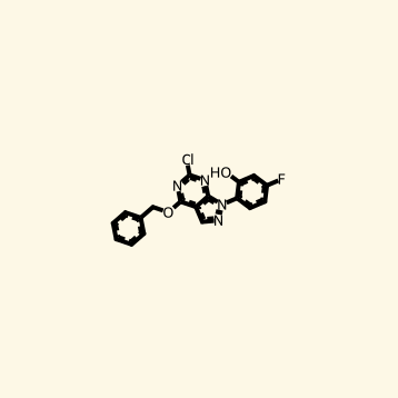 Oc1cc(F)ccc1-n1ncc2c(OCc3ccccc3)nc(Cl)nc21